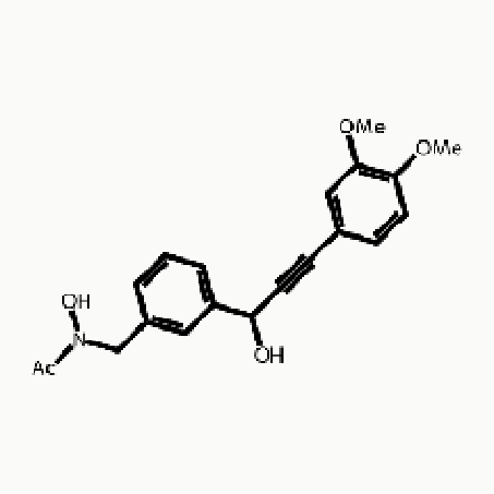 COc1ccc(C#CC(O)c2cccc(CN(O)C(C)=O)c2)cc1OC